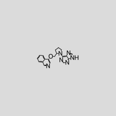 c1ccc2c(OCC3CCCN3c3ncnc4[nH]cnc34)cncc2c1